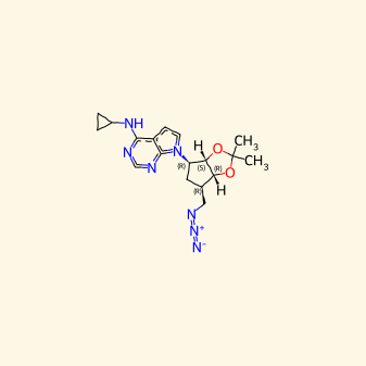 CC1(C)O[C@@H]2[C@@H](CN=[N+]=[N-])C[C@@H](n3ccc4c(NC5CC5)ncnc43)[C@@H]2O1